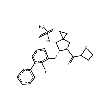 CS(=O)(=O)N[C@H]1[C@@H](Cc2cccc(-c3ccccc3)c2F)N(C(=O)C2CCO2)CC12CC2